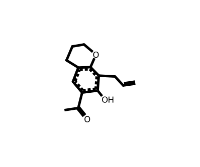 C=CCc1c(O)c(C(C)=O)cc2c1OCCC2